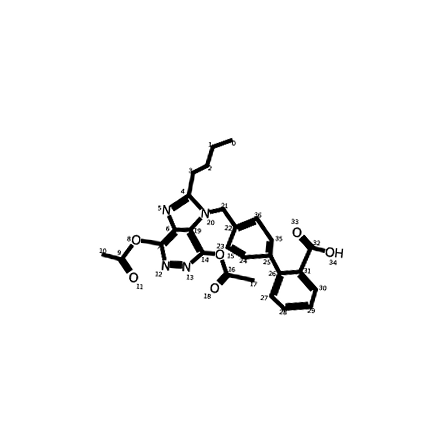 CCCCc1nc2c(OC(C)=O)nnc(OC(C)=O)c2n1Cc1ccc(-c2ccccc2C(=O)O)cc1